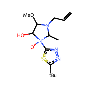 C=CCN1C(OC)C(O)[N+]([O-])(c2nnc(C(C)(C)C)s2)C1C